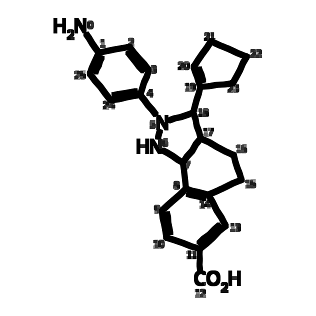 Nc1ccc(N2NC3c4ccc(C(=O)O)cc4CCC3C2C2=CCCC2)cc1